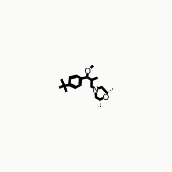 COC(c1ccc(C(C)(C)C)cc1)C(C)CN1C[C@@H](C)O[C@@H](C)C1